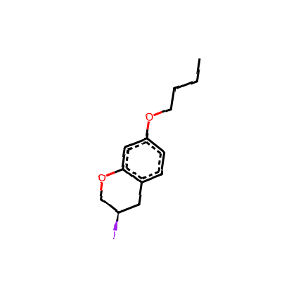 CCCCOc1ccc2c(c1)OC[C@H](I)C2